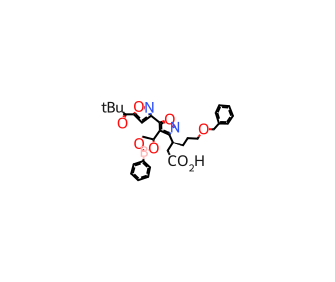 CC(C)(C)C(=O)c1cc(-c2onc([C@@H](CCCOCc3ccccc3)CC(=O)O)c2C2COB(c3ccccc3)O2)no1